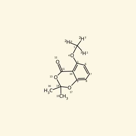 [2H]C([2H])([2H])Oc1cccc2c1C(=O)OC(C)(C)O2